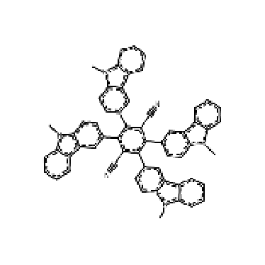 Cn1c2ccccc2c2cc(-c3c(C#N)c(-c4ccc5c(c4)c4ccccc4n5C)c(-c4ccc5c(c4)c4ccccc4n5C)c(C#N)c3-c3ccc4c(c3)c3ccccc3n4C)ccc21